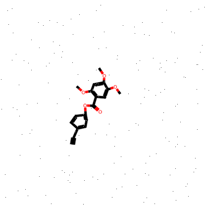 C#Cc1ccc(OC(=O)c2cc(OC)c(OC)cc2OC)cc1